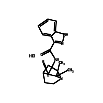 CC1(C)[C@@H](NC(=O)c2n[nH]c3ccccc23)C2CCN1CC2.Cl